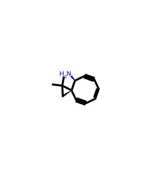 CC1(C)C[C@@]12C#C/C=C\C#C[C@@H]2N